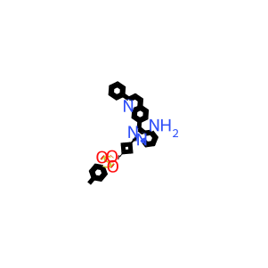 Cc1ccc(S(=O)(=O)OC[C@H]2C[C@H](c3nc(-c4ccc5ccc(-c6ccccc6)nc5c4)c4c(N)cccn43)C2)cc1